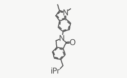 Cc1cc2cc(N3Cc4ccc(CC(C)C)cc4C3=O)ccc2n1C